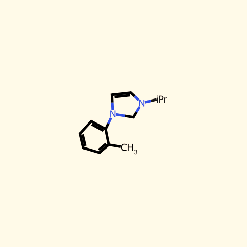 Cc1ccccc1N1C=CN(C(C)C)C1